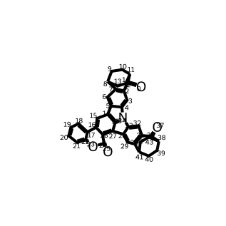 O=C1c2cc3c(cc2C2CCC1CC2)c1cc2c4ccccc4oc(=O)c2c2c4cc5c(cc4n3c12)C(=O)C1CCC5CC1